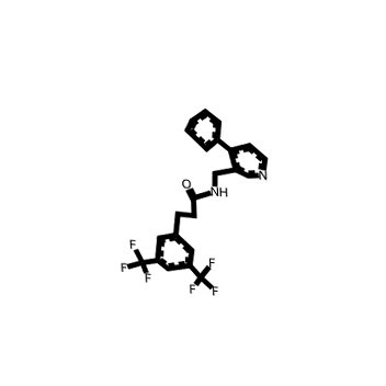 O=C(CCc1cc(C(F)(F)F)cc(C(F)(F)F)c1)NCc1cnccc1-c1ccccc1